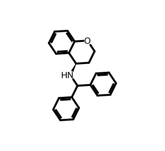 c1ccc(C(N[C@@H]2CCOc3ccccc32)c2ccccc2)cc1